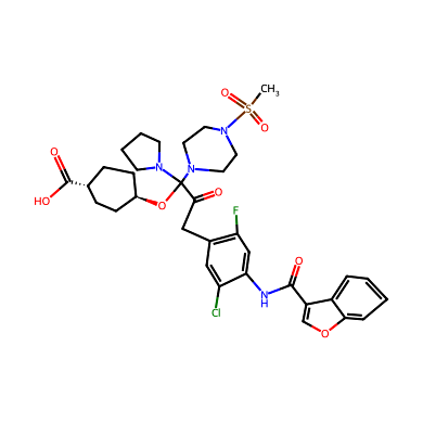 CS(=O)(=O)N1CCN(C(O[C@H]2CC[C@H](C(=O)O)CC2)(C(=O)Cc2cc(Cl)c(NC(=O)c3coc4ccccc34)cc2F)N2CCCC2)CC1